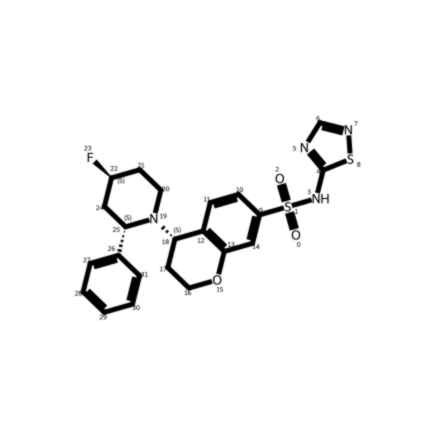 O=S(=O)(Nc1ncns1)c1ccc2c(c1)OCC[C@@H]2N1CC[C@H](F)C[C@H]1c1ccccc1